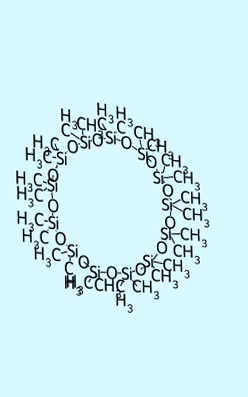 C[Si]1(C)O[Si](C)(C)O[Si](C)(C)O[Si](C)(C)O[Si](C)(C)O[Si](C)(C)O[Si](C)(C)O[Si](C)(C)O[Si](C)(C)O[Si](C)(C)O[Si](C)(C)O[Si](C)(C)O[Si](C)(C)O1